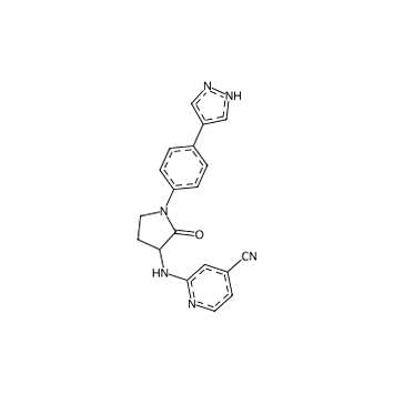 N#Cc1ccnc(NC2CCN(c3ccc(-c4cn[nH]c4)cc3)C2=O)c1